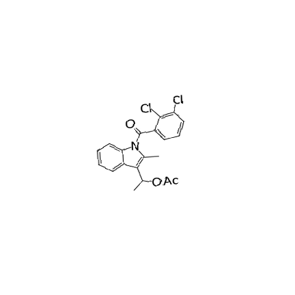 CC(=O)OC(C)c1c(C)n(C(=O)c2cccc(Cl)c2Cl)c2ccccc12